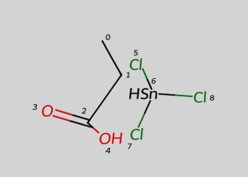 CCC(=O)O.[Cl][SnH]([Cl])[Cl]